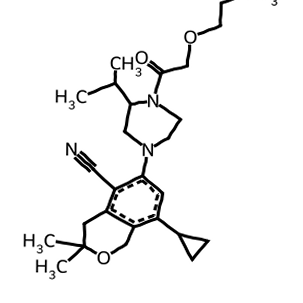 CCCOCC(=O)N1CCN(c2cc(C3CC3)c3c(c2C#N)CC(C)(C)OC3)CC1C(C)C